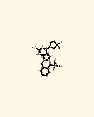 CC(C)(C)c1nc(N2CCC(F)(F)C2)c2nnn(Cc3ccccc3CS(=O)(=O)F)c2n1